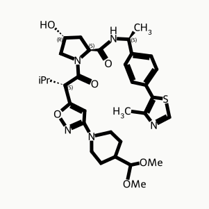 COC(OC)C1CCN(c2cc([C@@H](C(=O)N3C[C@H](O)C[C@H]3C(=O)N[C@@H](C)c3ccc(-c4scnc4C)cc3)C(C)C)on2)CC1